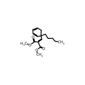 CCCCCC1(C=C(C(=O)OC)C(=O)OC)C=CC=CC1